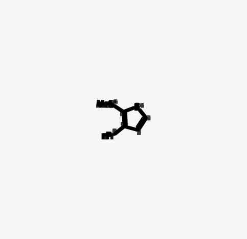 CCCc1ccsc1SC